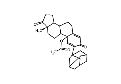 CC(=O)OC12C=C(C34CC5CC(CC(C5)C3)C4)C(=O)C=C1CCC1C2CC[C@]2(C)C(=O)CCC12